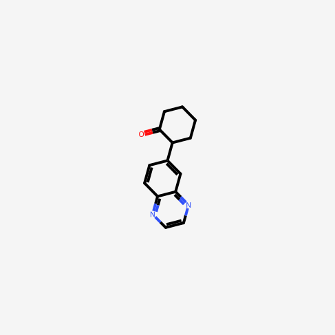 O=C1CCCCC1c1ccc2nccnc2c1